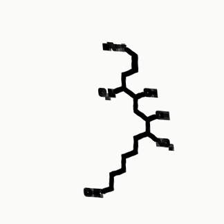 CCCCC/C=C\CC(C(O)CC(O)C(CCCCCCC=O)[N+](=O)[O-])[N+](=O)[O-]